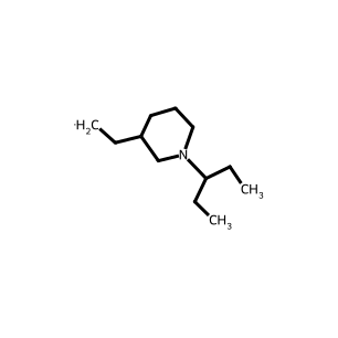 [CH2]CC1CCCN(C(CC)CC)C1